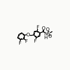 CS(=O)(=O)NC(=O)c1cc(F)c(COc2cccc(F)c2F)cc1F